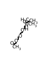 CC(=O)COCCOCCOCCNC(=O)C(C)(C)C